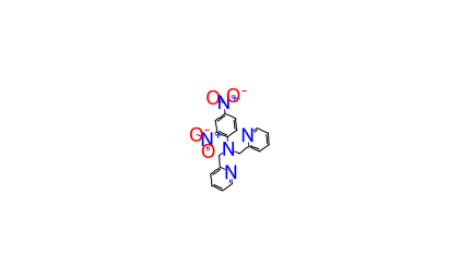 O=[N+]([O-])c1ccc(N(Cc2ccccn2)Cc2ccccn2)c([N+](=O)[O-])c1